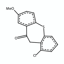 COc1ccc2c(c1)C(=O)Cc1c(Cl)cccc1S2